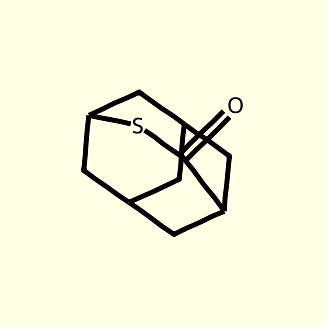 O=C1SC2CC3CC(C2)CC1C3